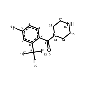 O=C(c1ccc(F)cc1C(F)(F)F)N1CCNCC1